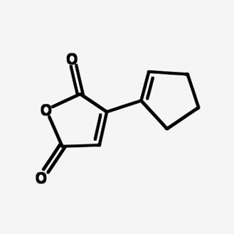 O=C1C=C(C2=CCCC2)C(=O)O1